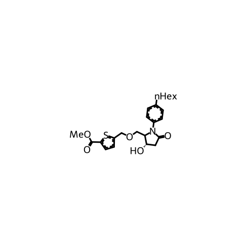 CCCCCCc1ccc(N2C(=O)C[C@H](O)C2COCc2ccc(C(=O)OC)s2)cc1